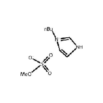 CCCC[n+]1cc[nH]c1.COS(=O)(=O)[O-]